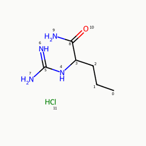 CCCC(NC(=N)N)C(N)=O.Cl